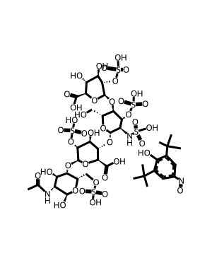 CC(=O)N[C@@H]1[C@@H](O)[C@H](O[C@@H]2O[C@H](C(=O)O)[C@@H](O[C@@H]3O[C@H](CO)[C@@H](O[C@H]4O[C@@H](C(=O)O)[C@H](O)[C@@H](O)[C@@H]4OS(=O)(=O)O)[C@H](OS(=O)(=O)O)[C@H]3NS(=O)(=O)O)[C@H](O)[C@H]2OS(=O)(=O)O)[C@H](COS(=O)(=O)O)O[C@H]1O.CC(C)(C)c1cc(N=O)cc(C(C)(C)C)c1O